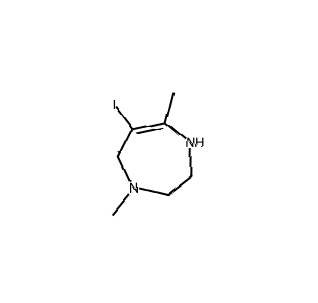 CC1=C(I)CN(C)CCN1